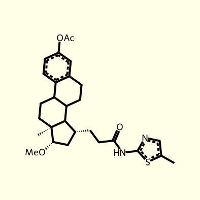 CO[C@H]1C[C@@H](CCC(=O)Nc2ncc(C)s2)C2C3CCc4cc(OC(C)=O)ccc4C3CC[C@@]21C